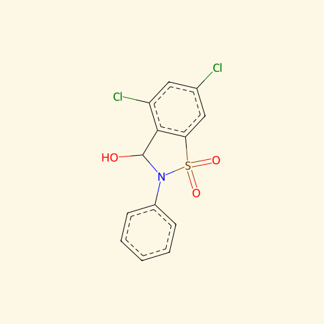 O=S1(=O)c2cc(Cl)cc(Cl)c2C(O)N1c1ccccc1